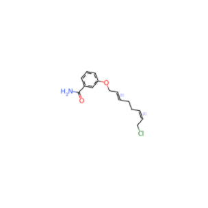 NC(=O)c1cccc(OC/C=C/CC/C=C\CCl)c1